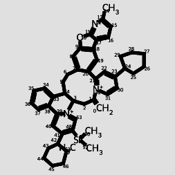 C=C1CC2C(CCc3cc4oc5nc(C)ccc5c4cc3-c3cc(C4CCCCC4)cc[n+]31)c1ccccc1-c1cc(C3CCCCC3)c([Si](C)(C)C)c[n+]12